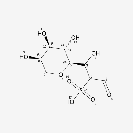 O=[C]C(C(O)[C@H]1OC[C@@H](O)[C@@H](O)[C@@H]1O)S(=O)(=O)O